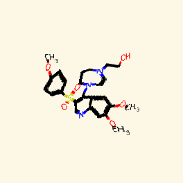 COc1ccc(S(=O)(=O)c2cnc3cc(OC)c(OC)cc3c2N2CCCN(CCO)CC2)cc1